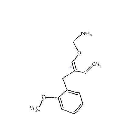 C=N/C(=C\OCN)Cc1ccccc1OC